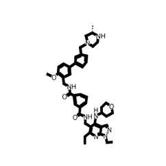 CCc1nc2c(cnn2CC)c(NC2CCOCC2)c1CNC(=O)c1cccc(C(=O)NCc2cc(-c3cccc(CN4CCN[C@@H](C)C4)c3)ccc2OC)c1